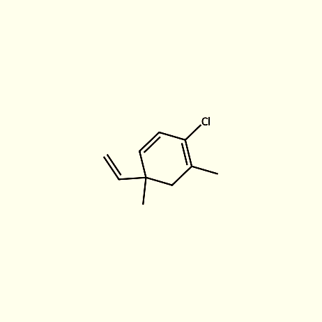 C=CC1(C)C=CC(Cl)=C(C)C1